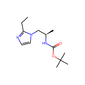 CCc1nccn1C[C@@H](C)NC(=O)OC(C)(C)C